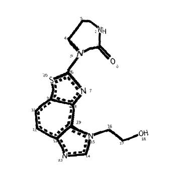 O=C1NCCN1c1nc2c(ccc3ncn(CCO)c32)s1